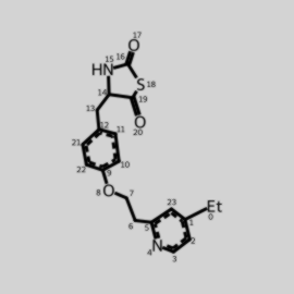 CCc1ccnc(CCOc2ccc(CC3NC(=O)SC3=O)cc2)c1